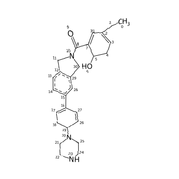 CCC1=CCC(O)C(C(=O)N2Cc3ccc(C4=CCC(N5CCNCC5)C=C4)cc3C2)=C1